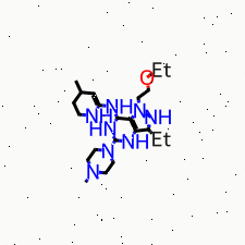 CCOCCN1NC(CC)C2=C1C(NC1=CC(C)CCN1)NC(N1CCN(C)CC1)N2